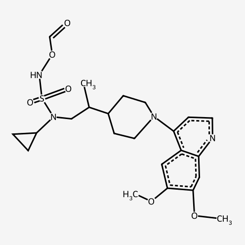 COc1cc2nccc(N3CCC(C(C)CN(C4CC4)S(=O)(=O)NOC=O)CC3)c2cc1OC